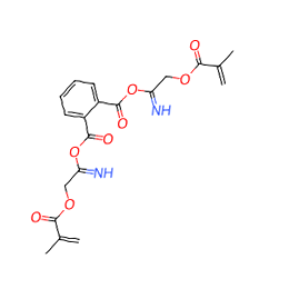 C=C(C)C(=O)OCC(=N)OC(=O)c1ccccc1C(=O)OC(=N)COC(=O)C(=C)C